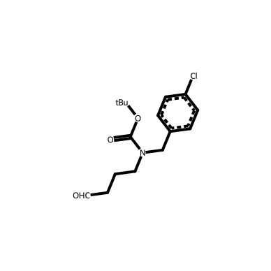 CC(C)(C)OC(=O)N(CCCC=O)Cc1ccc(Cl)cc1